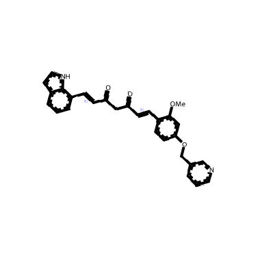 COc1cc(OCc2cccnc2)ccc1/C=C/C(=O)CC(=O)/C=C/c1cccc2cc[nH]c12